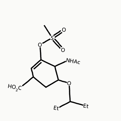 CCC(CC)OC1CC(C(=O)O)C=C(OS(C)(=O)=O)C1NC(C)=O